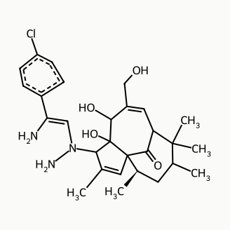 CC1=CC23C(=O)C(C=C(CO)C(O)C2(O)C1N(N)/C=C(\N)c1ccc(Cl)cc1)C(C)(C)C(C)C[C@H]3C